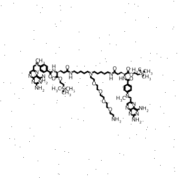 CN(Cc1cnc2nc(N)nc(N)c2n1)c1ccc(C(=O)N[C@@H](CCC(=O)NCCCCCN(CCCCCNC(=O)CC[C@H](NC(=O)c2ccc(N(C)Cc3cnc4nc(N)nc(N)c4n3)cc2)C(=O)OCC[Si](C)(C)C)CCOCCOCCOCCOCCN)C(=O)OCC[Si](C)(C)C)cc1